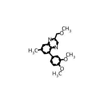 COCc1cnc2c(-c3ccc(OC)c(OC)c3)cc(C)cc2n1